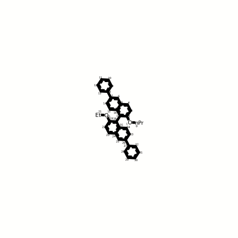 CCCOc1ccc2cc(-c3ccccc3)ccc2c1-c1c(OCC)ccc2cc(-c3ccccc3)ccc12